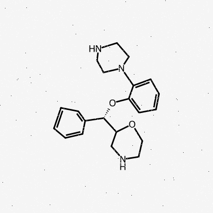 c1ccc([C@H](Oc2ccccc2N2CCNCC2)C2CNCCO2)cc1